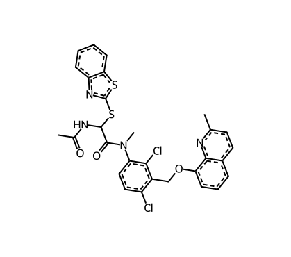 CC(=O)NC(Sc1nc2ccccc2s1)C(=O)N(C)c1ccc(Cl)c(COc2cccc3ccc(C)nc23)c1Cl